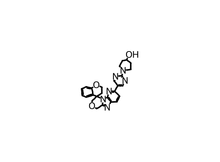 OC1CCN(c2ncc(-c3ccc4nc5n(c4n3)C3(CCOc4ccccc43)COC5)cn2)CC1